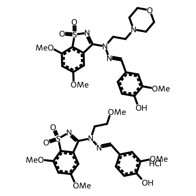 COCCN(N=Cc1ccc(O)c(OC)c1)C1=NS(=O)(=O)c2c(OC)cc(OC)cc21.COc1cc(OC)c2c(c1)C(N(CCN1CCOCC1)N=Cc1ccc(O)c(OC)c1)=NS2(=O)=O.Cl